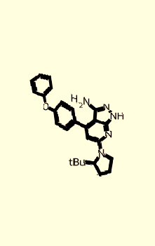 CC(C)(C)C1[CH]CCN1c1cc(-c2ccc(Oc3ccccc3)cc2)c2c(N)n[nH]c2n1